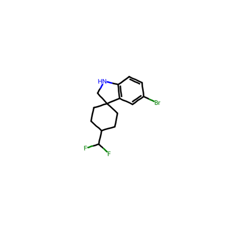 FC(F)C1CCC2(CC1)CNc1ccc(Br)cc12